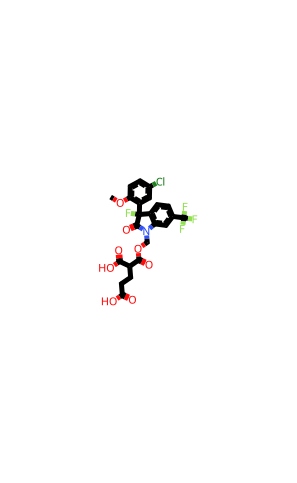 COc1ccc(Cl)cc1C1(F)C(=O)N(COC(=O)C(CCC(=O)O)C(=O)O)c2cc(C(F)(F)F)ccc21